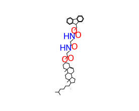 CC(C)CCC[C@@H](C)C1CCC2C3CC=C4CC(OC(=O)CCNC(=O)CCNC(=O)OCC5c6ccccc6-c6ccccc65)CCC4(C)C3CCC21C